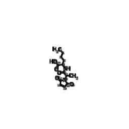 CCCCC(NC(=O)C(C)N1C(=O)C=CC1=O)C(=O)O